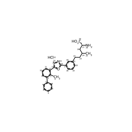 Cc1c(-c2ccccc2)cccc1-c1nnc(-c2cccc(CCC(C)C[C@H](N)C(=O)O)c2)o1.Cl